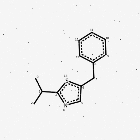 CC(C)c1ncc(Cc2ccccc2)s1